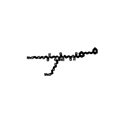 COCCOCCOCC(=O)NCCCC[C@H](NC(=O)COCCOCCOC)C(=O)NCCCC(=O)ONC(=O)Cc1ccc(CCCCc2ccccc2)cc1